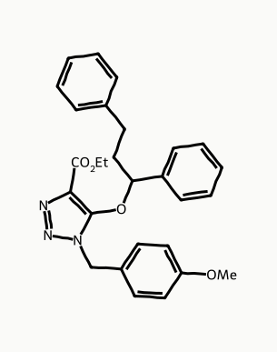 CCOC(=O)c1nnn(Cc2ccc(OC)cc2)c1OC(CCc1ccccc1)c1ccccc1